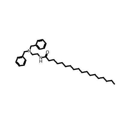 CCCCCCCCCCCCCCCCCC(=O)NCCN(Cc1ccccc1)Cc1ccccc1